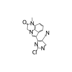 CN1C(=O)Cn2cc(-c3nc(Cl)ncc3C#N)c3cccc1c32